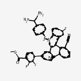 COC(=O)c1ccc(-c2cccc(-c3c(-c4c(C#N)cccc4C#N)c4cc(F)ccc4n3Sc3ccc(C(P)P)cc3)c2)c(F)c1F